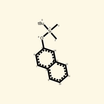 CC(C)(C)[Si](C)(C)Oc1ccc2ccccc2c1